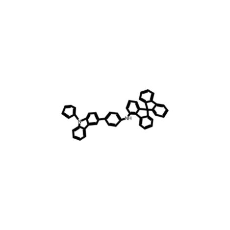 c1ccc(-n2c3ccccc3c3cc(-c4ccc(Nc5cccc6c5-c5ccccc5C65c6ccccc6-c6ccccc65)cc4)ccc32)cc1